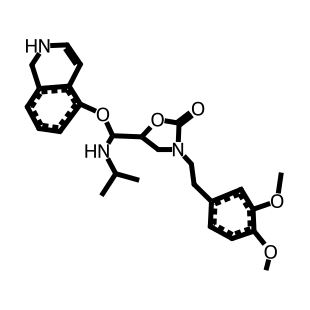 COc1ccc(CCN2CC(C(NC(C)C)Oc3cccc4c3C=CNC4)OC2=O)cc1OC